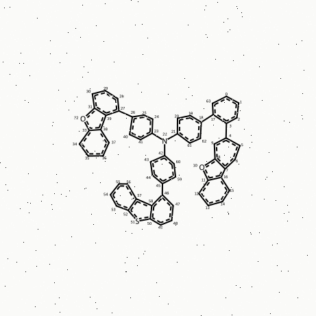 c1ccc(-c2ccc3c(c2)oc2ccccc23)c(-c2ccc(N(c3ccc(-c4cccc5oc6ccccc6c45)cc3)c3ccc(-c4cccc5sc6ccccc6c45)cc3)cc2)c1